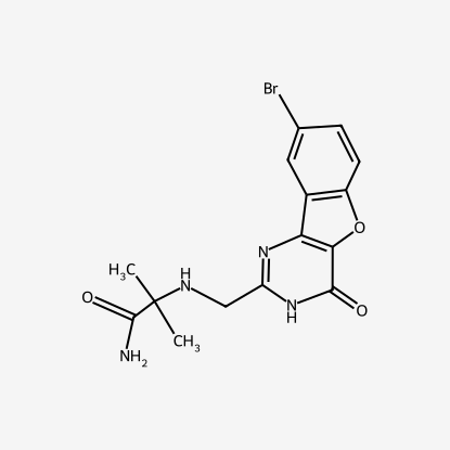 CC(C)(NCc1nc2c(oc3ccc(Br)cc32)c(=O)[nH]1)C(N)=O